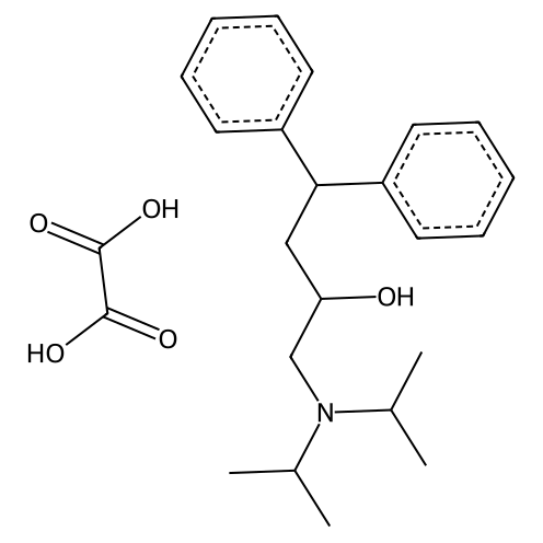 CC(C)N(CC(O)CC(c1ccccc1)c1ccccc1)C(C)C.O=C(O)C(=O)O